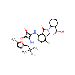 Cc1ccc([C@H](Nc2c(Nc3ccc(Cl)c4c3C(=O)N(C3CCCCC3C(=O)O)C4)c(=O)c2=O)C(C)(C)C)o1